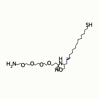 NCCOCCOCCOCCOCCC(=O)NC(CO)C/C=C/CCCCCCCCCCCCS